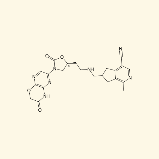 Cc1ncc(C#N)c2c1CC(CNCC[C@H]1CN(c3cnc4c(n3)NC(=O)CO4)C(=O)O1)C2